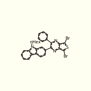 CCCCCCn1c2ccccc2c2ccc(-c3nc4c(Br)sc(Br)c4nc3-c3ccccc3)cc21